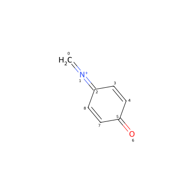 C=[N+]=C1C=CC(=O)C=C1